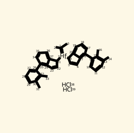 C[C](C)=[Hf]([CH]1C=Cc2c(-c3cccc(C)c3C)cccc21)[CH]1C=Cc2c(-c3cccc(C)c3C)cccc21.Cl.Cl